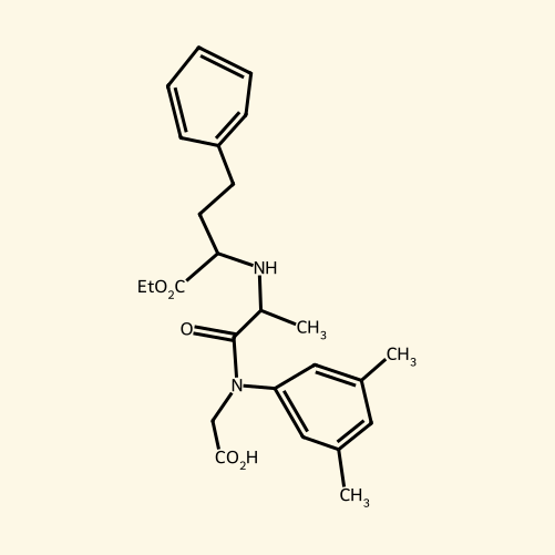 CCOC(=O)C(CCc1ccccc1)NC(C)C(=O)N(CC(=O)O)c1cc(C)cc(C)c1